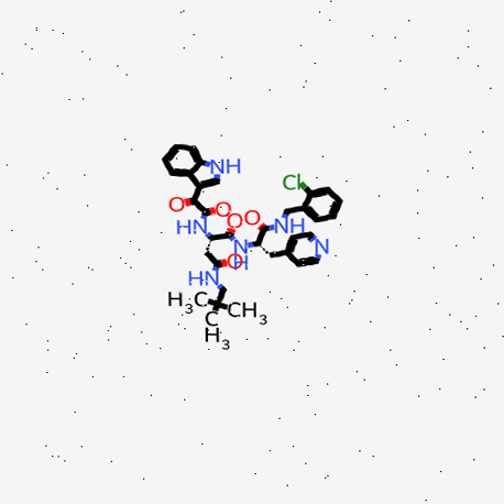 CC(C)(C)CNC(=O)C[C@H](NC(=O)C(=O)c1c[nH]c2ccccc12)C(=O)N[C@@H](Cc1ccncc1)C(=O)NCc1ccccc1Cl